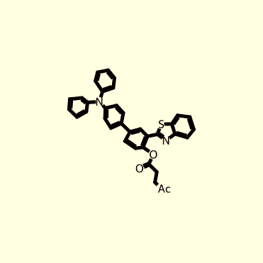 CC(=O)CCC(=O)Oc1ccc(-c2ccc(N(c3ccccc3)c3ccccc3)cc2)cc1-c1nc2ccccc2s1